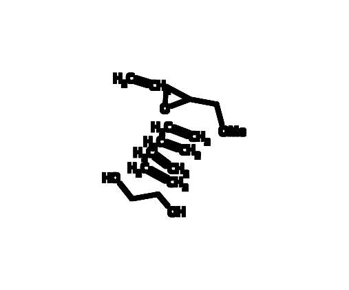 C=C.C=C.C=C.C=C.C=C.COCC1CO1.OCCO